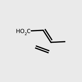 C/C=C/C(=O)O.C=C